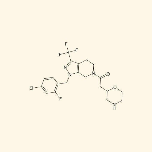 O=C(CC1CNCCO1)N1CCc2c(C(F)(F)F)nn(Cc3ccc(Cl)cc3F)c2C1